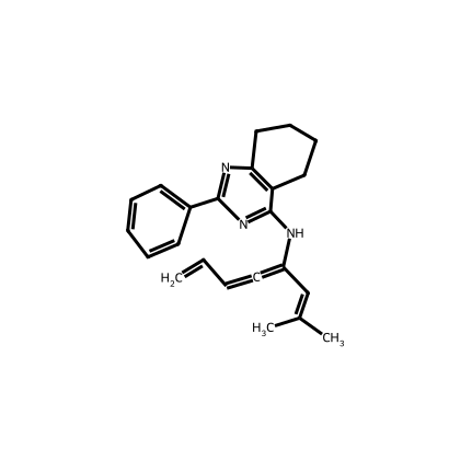 C=CC=C=C(C=C(C)C)Nc1nc(-c2ccccc2)nc2c1CCCC2